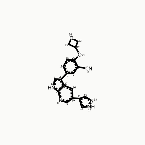 N#Cc1cc(-c2c[nH]c3ncc(-c4cn[nH]c4)cc23)ccc1OC1COC1